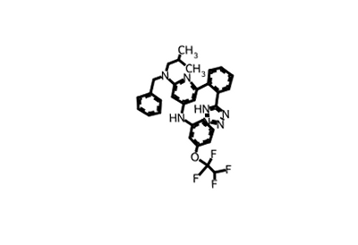 CC(C)CN(Cc1ccccc1)c1cc(Nc2cccc(OC(F)(F)C(F)F)c2)cc(-c2ccccc2-c2nnn[nH]2)n1